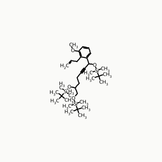 C=CCc1c(OC)cccc1C(C#CCCC(CO[Si](C)(C)C(C)(C)C)O[Si](C)(C)C(C)(C)C)O[Si](C)(C)C(C)(C)C